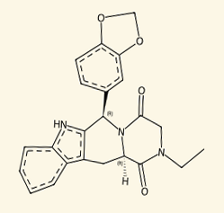 CCN1CC(=O)N2[C@H](c3ccc4c(c3)OCO4)c3[nH]c4ccccc4c3C[C@@H]2C1=O